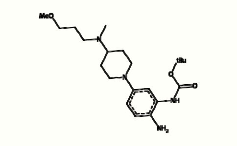 COCCCN(C)C1CCN(c2ccc(N)c(NC(=O)OC(C)(C)C)c2)CC1